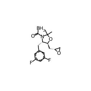 BC(=O)N1[C@@H](Cc2cc(F)cc(F)c2)[C@H](C[C@@H]2CO2)OC1(C)C